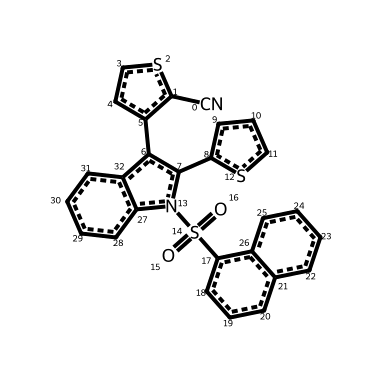 N#Cc1sccc1-c1c(-c2cccs2)n(S(=O)(=O)c2cccc3ccccc23)c2ccccc12